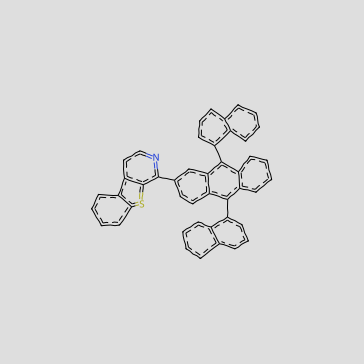 c1ccc2c(-c3c4ccccc4c(-c4cccc5ccccc45)c4cc(-c5nccc6c5sc5ccccc56)ccc34)cccc2c1